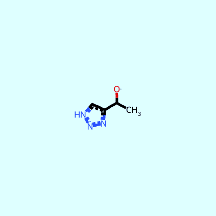 CC([O])c1c[nH]nn1